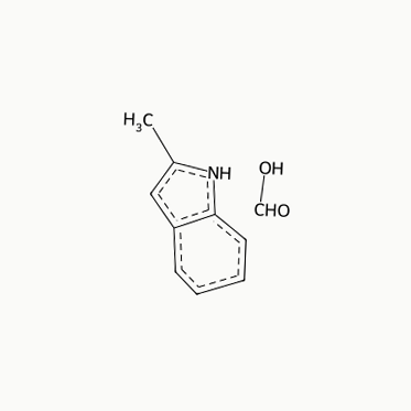 Cc1cc2ccccc2[nH]1.O=CO